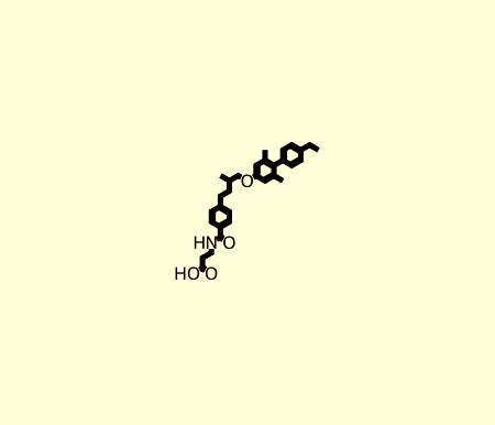 CCc1ccc(-c2c(C)cc(OCC(C)CCc3ccc(C(=O)NCCC(=O)O)cc3)cc2C)cc1